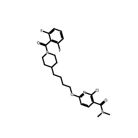 CN(C)C(=O)c1ccc(OCCCCC2CCN(C(=O)c3c(F)cccc3F)CC2)nc1Cl